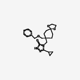 O=c1[nH]nc(C2CC2)n1CC1(COCc2ccccc2)CCC2(CC1)OCCO2